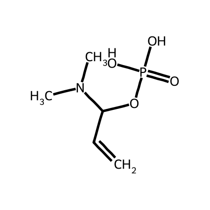 C=CC(OP(=O)(O)O)N(C)C